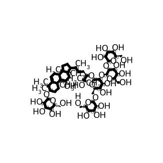 C[C@H](CC[C@@H](O[C@@H]1O[C@H](CO[C@H]2O[C@H](CO)[C@@H](O)[C@H](O)[C@H]2O)[C@@H](O)[C@H](O)[C@H]1O[C@@H]1O[C@H](CO)[C@@H](O)[C@H](O)[C@H]1O[C@H]1O[C@H](CO)[C@@H](O)[C@H](O)[C@H]1O)C(C)(C)O)C1CC[C@@]2(C)C3CC=C4C(CC[C@H](O[C@@H]5O[C@H](CO)[C@@H](O)[C@H](O)[C@H]5O)C4(C)C)[C@]3(C)[C@H](O)C[C@]12C